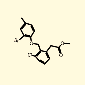 COC(=O)Cc1cccc(Cl)c1COc1ccc(C)cc1Br